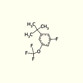 CC(C)(C)c1cc(F)cc(OC(F)(F)F)c1